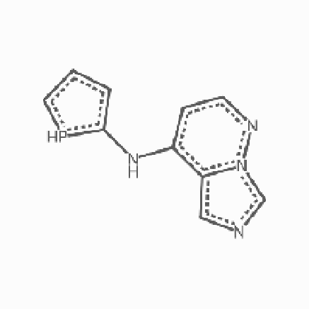 c1c[pH]c(Nc2ccnn3cncc23)c1